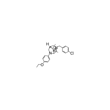 CCOc1ccc(N2C[C@H]3CN(Cc4ccc(Cl)cc4)CC2[C@@H](C)C3C)cc1